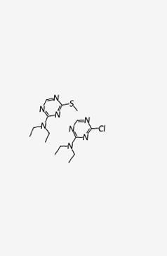 CCN(CC)c1ncnc(Cl)n1.CCN(CC)c1ncnc(SC)n1